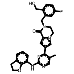 Cc1cnc(Nc2cccc3c2OCC3)nc1-c1cc2n(c1)CCN(Cc1cc(F)ccc1CO)C2=O